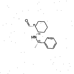 C[C@H](N[C@H]1CCCC[C@H]1C=O)c1ccccc1